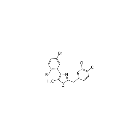 Cc1[nH]c(Cc2ccc(Cl)c(Cl)c2)nc1-c1cc(Br)ccc1Br